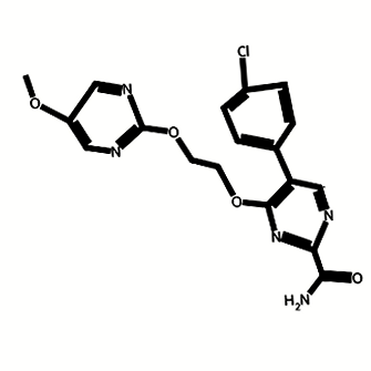 COc1cnc(OCCOc2nc(C(N)=O)n[c]c2-c2ccc(Cl)cc2)nc1